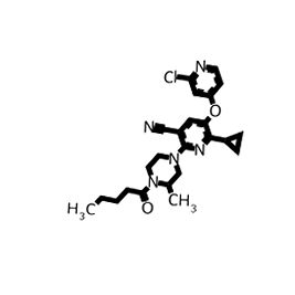 CCCCC(=O)N1CCN(c2nc(C3CC3)c(Oc3ccnc(Cl)c3)cc2C#N)CC1C